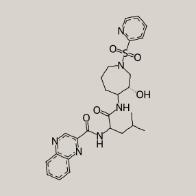 CC(C)CC(NC(=O)c1cnc2ccccc2n1)C(=O)NC1CCCN(S(=O)(=O)c2ccccn2)C[C@@H]1O